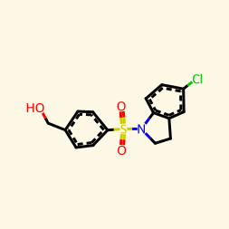 O=S(=O)(c1ccc(CO)cc1)N1CCc2cc(Cl)ccc21